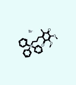 COC1=C(OC)C(=O)C(CCC[P+](c2ccccc2)(c2ccccc2)c2ccccc2)=C(C)C1=O.[Br-]